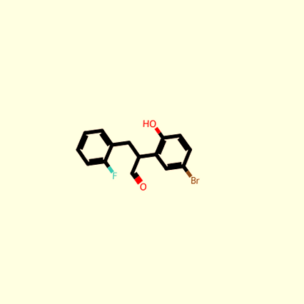 O=CC(Cc1ccccc1F)c1cc(Br)ccc1O